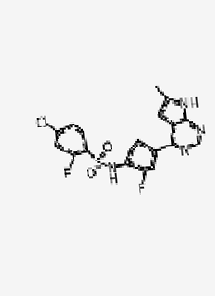 Cc1cc2c(-c3ccc(NS(=O)(=O)c4ccc(Cl)cc4F)c(F)c3)ncnc2[nH]1